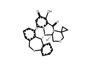 O=C1c2c(O)c(=O)ccn2N([C@@H]2c3ccccc3SCc3cccc(Cl)c32)[C@@H]2COCC3(CC3)N12